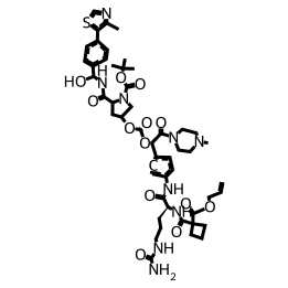 C=CCOC(=O)C1(C(=O)N[C@@H](CCCNC(N)=O)C(=O)Nc2ccc(C(OC(=O)OC3CC(C(=O)NC(O)c4ccc(-c5scnc5C)cc4)N(C(=O)OC(C)(C)C)C3)C(=O)N3CCN(C)CC3)cc2)CCC1